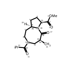 COC(=O)[C@@H]1CC[C@@H]2CCN(C(=O)C(C)C)C[C@H](C)C(=O)N21